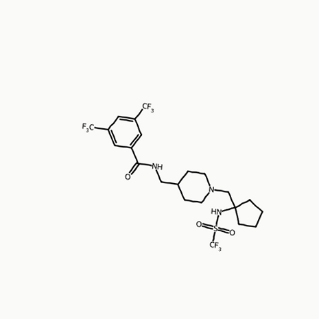 O=C(NCC1CCN(CC2(NS(=O)(=O)C(F)(F)F)CCCC2)CC1)c1cc(C(F)(F)F)cc(C(F)(F)F)c1